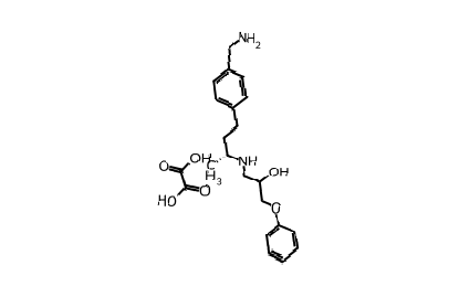 C[C@H](CCc1ccc(CN)cc1)NCC(O)COc1ccccc1.O=C(O)C(=O)O